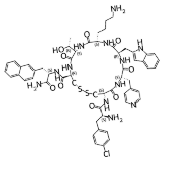 C[C@@H](O)[C@@H]1NC(=O)[C@H](CCCCN)NC(=O)[C@@H](Cc2cc3ccccc3[nH]2)NC(=O)[C@H](Cc2ccncc2)NC(=O)[C@H](NC(=O)[C@@H](N)Cc2ccc(Cl)cc2)CSSC[C@@H](C(=O)N[C@@H](Cc2ccc3ccccc3c2)C(N)=O)NC1=O